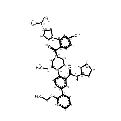 CCOc1ncccc1-c1ccc(N2CCN(C(=O)c3ccc(Cl)cc3N3CC[C@H](N(C)C)C3)C[C@H]2CC)c(C(=O)N[C@@H]2CCNC2)c1